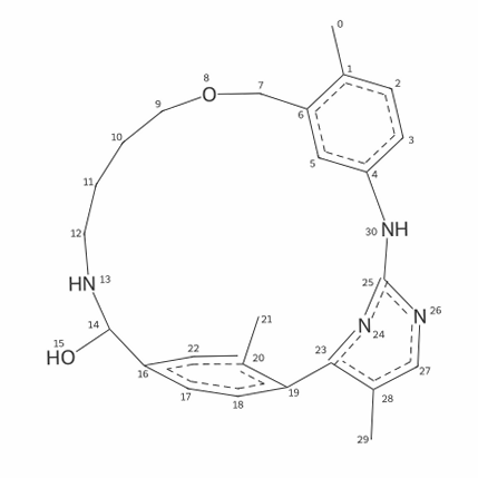 Cc1ccc2cc1COCCCCNC(O)c1ccc(c(C)c1)-c1nc(ncc1C)N2